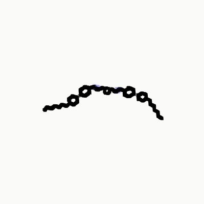 CCCCCCC[C@H]1CC[C@H](C2CCC(/C=C/COC/C=C/C3CCC([C@H]4CC[C@H](CCCCCCC)CC4)CC3)CC2)CC1